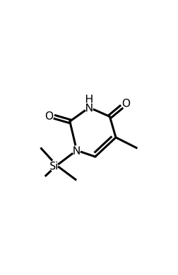 Cc1cn([Si](C)(C)C)c(=O)[nH]c1=O